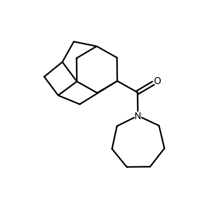 O=C(N1CCCCCC1)C12CC3CC4CC(C1)C4(C3)C2